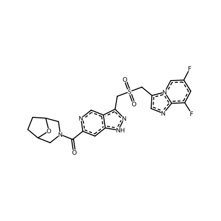 O=C(c1cc2[nH]nc(CS(=O)(=O)Cc3cnc4c(F)cc(F)cn34)c2cn1)N1CC2CCC(C1)O2